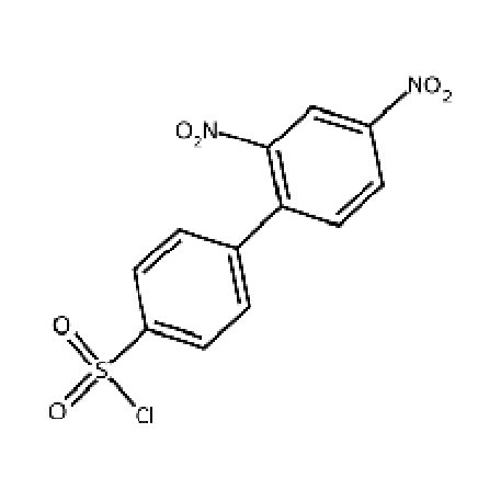 O=[N+]([O-])c1ccc(-c2ccc(S(=O)(=O)Cl)cc2)c([N+](=O)[O-])c1